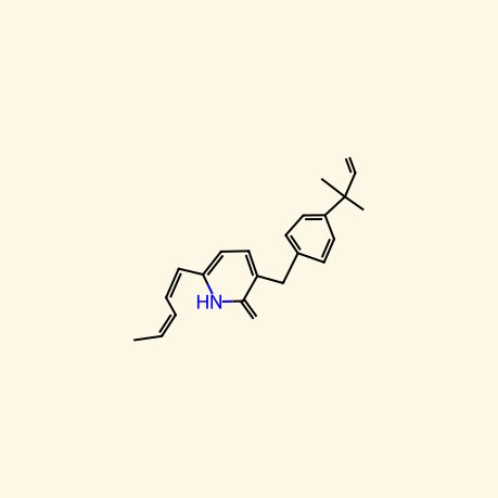 C=CC(C)(C)c1ccc(CC2=CC=C(/C=C\C=C/C)NC2=C)cc1